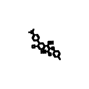 Cc1ccc(Oc2c(O)c3cc(-c4ccc(N(C)C)cc4)c(Cl)cc3[nH]c2=O)cc1